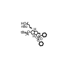 C=C1C[C@H]2[C@@H](/C=C/C[C@](C)(O)CCCC)[C@H](O[Si](C)(C)C(C)(C)C)C[C@@H]2C1OP(=O)(Oc1ccccc1)Oc1ccccc1